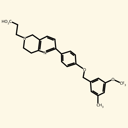 Cc1cc(COc2ccc(-c3ccc4c(n3)CCN(CCC(=O)O)C4)cc2)cc(OC(F)(F)F)c1